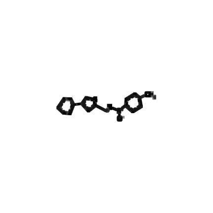 Cc1ccc([S+]([O-])/N=C/c2cc(-c3ccccc3)cs2)cc1